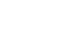 CC1CCc2sc(NC(=O)C3CC3)cc2C1